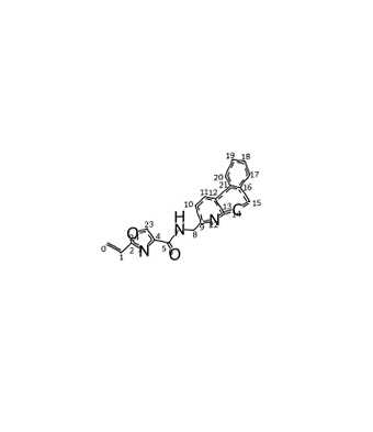 C=Cc1nc(C(=O)NCc2ccc3c(ccc4ccccc43)n2)co1